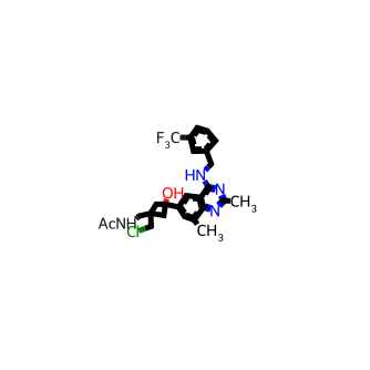 CC(=O)NCC1(CCl)CC(O)(c2cc(C)c3nc(C)nc(NCc4cccc(C(F)(F)F)c4)c3c2)C1